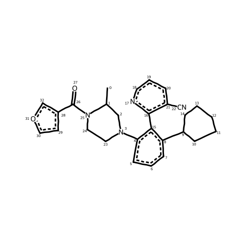 CC1CN(c2cccc(C3CCCCC3)c2-c2ncccc2C#N)CCN1C(=O)c1ccoc1